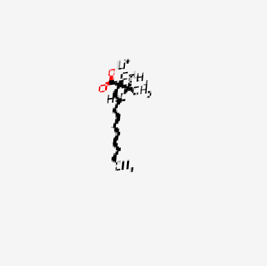 CCCCCCCCCCC(C)(C(=O)[O-])C(C)(C)C.[Li+]